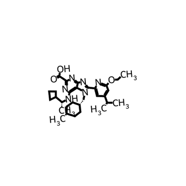 CCOc1cc(C(C)C)cc(-c2nc3nc(C(=O)O)nc(N[C@H](C)C4CCC4)c3n2C[C@H]2CC[C@H](C)CC2)n1